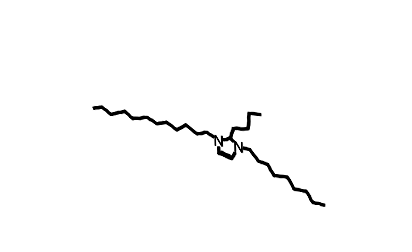 CCCCCCCCCCCCN1C=CN(CCCCCCCCC)C1CCCC